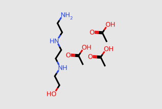 CC(=O)O.CC(=O)O.CC(=O)O.NCCNCCNCCO